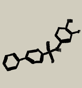 O=S(=O)(NC1=CC(F)=C(O)CC1)c1ccc(-c2ccccc2)cc1